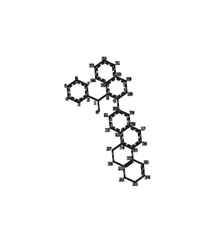 CC(c1ccccc1)c1c(-c2ccc3c4c(ccc3c2)C2=C(CCC=C2)CC4)ccc2ccccc12